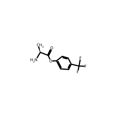 C[C@H](N)C(=O)Oc1ccc(C(F)(F)F)cc1